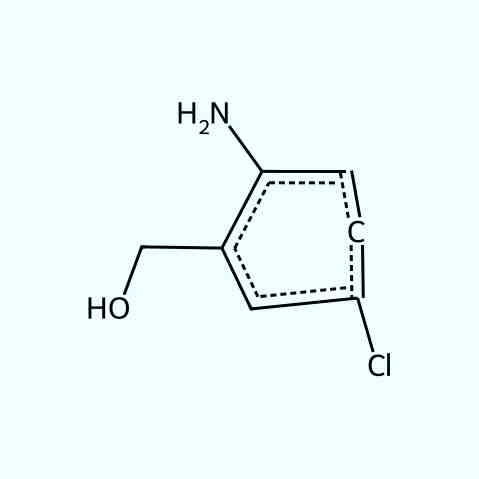 Nc1ccc(Cl)cc1CO